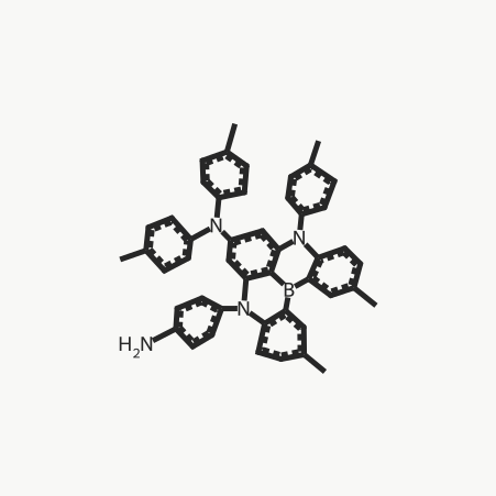 Cc1ccc(N(c2ccc(C)cc2)c2cc3c4c(c2)N(c2ccc(N)cc2)c2ccc(C)cc2B4c2cc(C)ccc2N3c2ccc(C)cc2)cc1